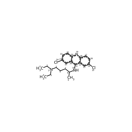 CCN(CC)CCCC(C)Nc1c2cc(Cl)ccc2nc2ccc(Cl)cc12